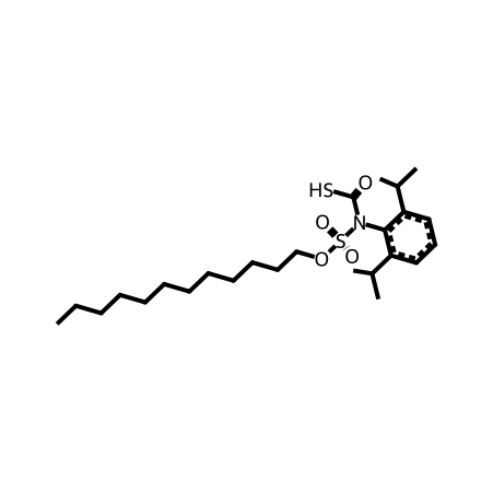 CCCCCCCCCCCCOS(=O)(=O)N(C(=O)S)c1c(C(C)C)cccc1C(C)C